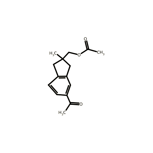 CC(=O)OCC1(C)Cc2ccc(C(C)=O)cc2C1